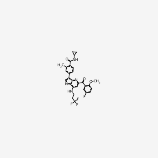 COc1ccc(F)cc1C(=O)c1cc(NCCC(F)(F)F)c2ncc(-c3ccc(C(=O)NC4CC4)c(C)c3)n2n1